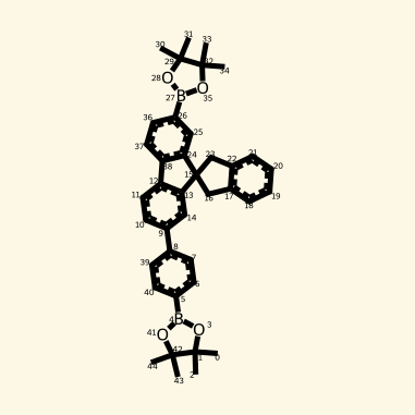 CC1(C)OB(c2ccc(-c3ccc4c(c3)C3(Cc5ccccc5C3)c3cc(B5OC(C)(C)C(C)(C)O5)ccc3-4)cc2)OC1(C)C